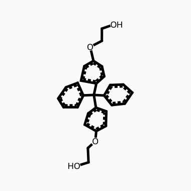 OCCOc1ccc(C(c2ccccc2)(c2ccccc2)c2ccc(OCCO)cc2)cc1